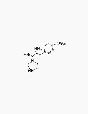 COc1ccc(CN(N)C(=N)N2CCNCC2)cc1